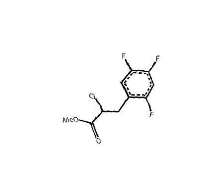 COC(=O)C(Cl)Cc1cc(F)c(F)cc1F